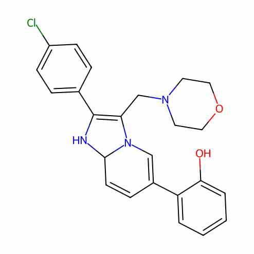 Oc1ccccc1C1=CN2C(CN3CCOCC3)=C(c3ccc(Cl)cc3)NC2C=C1